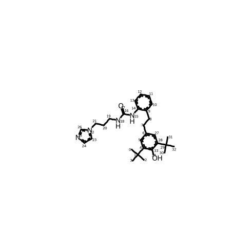 CC(C)(C)c1cc(CCc2ccccc2NC(=O)NCCCn2ccnc2)cc(C(C)(C)C)c1O